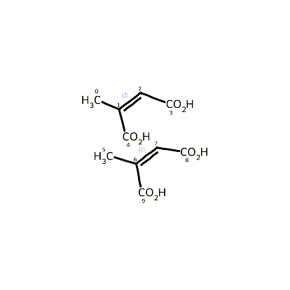 C/C(=C/C(=O)O)C(=O)O.C/C(=C/C(=O)O)C(=O)O